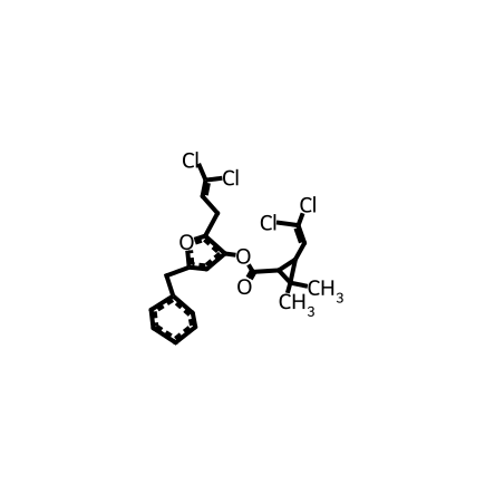 CC1(C)C(C=C(Cl)Cl)C1C(=O)Oc1cc(Cc2ccccc2)oc1CC=C(Cl)Cl